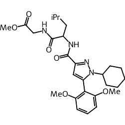 COC(=O)CNC(=O)C(CC(C)C)NC(=O)c1cc(-c2c(OC)cccc2OC)n(C2CCCCC2)n1